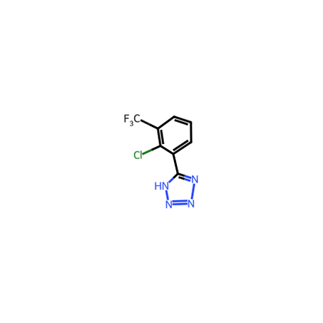 FC(F)(F)c1cccc(-c2nnn[nH]2)c1Cl